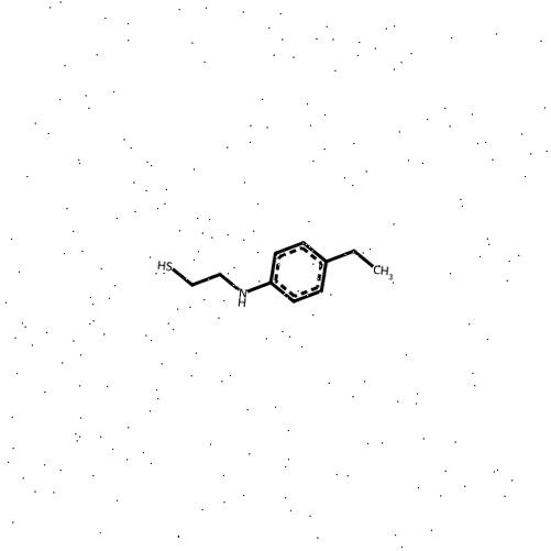 CCc1ccc(NCCS)cc1